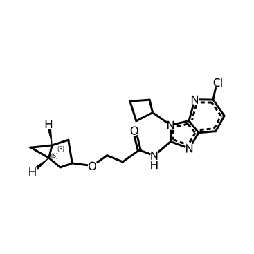 O=C(CCOC1C[C@@H]2C[C@@H]2C1)Nc1nc2ccc(Cl)nc2n1C1CCC1